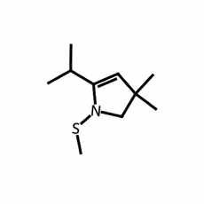 CSN1CC(C)(C)C=C1C(C)C